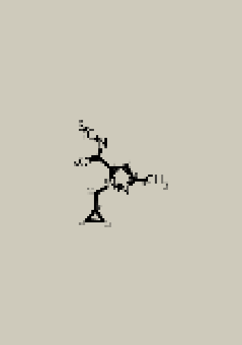 Cc1cc(C(=O)N=C=S)n(CC2CC2)n1